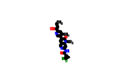 C=CC[C@H](O)c1cc(C)c(-c2cc3cnc(NC(=O)[C@@H]4CC4(F)F)cc3n(C)c2=O)cn1